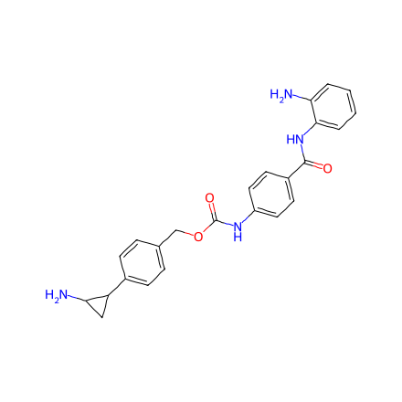 Nc1ccccc1NC(=O)c1ccc(NC(=O)OCc2ccc(C3CC3N)cc2)cc1